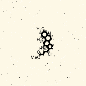 COC(=O)CC[C@@H](C)C1CCC2C3CC[C@@H]4C[C@@H](C)CC[C@]4(C)C3=CC(=O)[C@@]21C